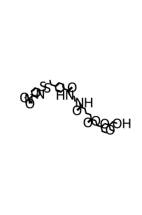 CCC(COC(=O)CCCC(=O)NCCNC(=O)c1ccc(C(C)SSc2ccc([N+](=O)[O-])cn2)cc1)OC(CO)OC